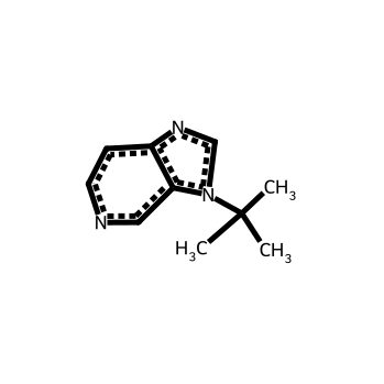 CC(C)(C)n1cnc2ccncc21